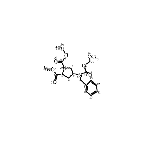 COC(=O)[C@@H]1C[C@H](N(Cc2ccccc2)C(=O)OCC(Cl)(Cl)Cl)CN1C(=O)OC(C)(C)C